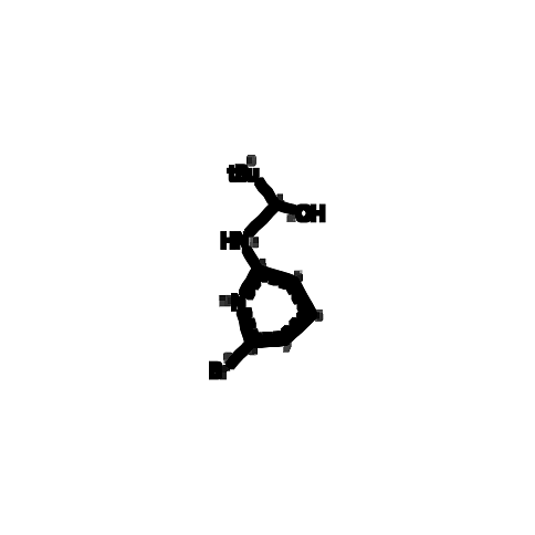 CC(C)(C)C(O)Nc1cccc(Br)n1